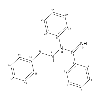 N=C(c1ccccc1)N(NCc1ccccc1)c1ccccc1